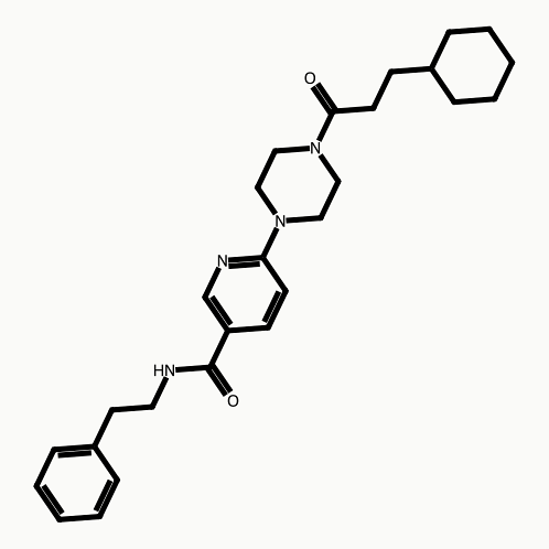 O=C(NCCc1ccccc1)c1ccc(N2CCN(C(=O)CCC3CCCCC3)CC2)nc1